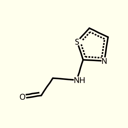 O=CCNc1nccs1